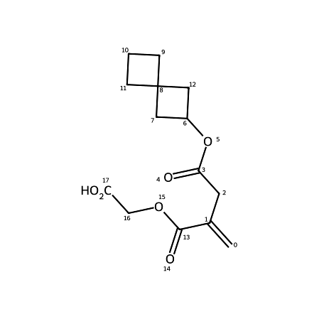 C=C(CC(=O)OC1CC2(CCC2)C1)C(=O)OCC(=O)O